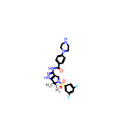 CC1(C)c2[nH]nc(NC(=O)c3ccc(N4CCNCC4)cc3)c2CN1S(=O)(=O)c1cc(F)cc(F)c1